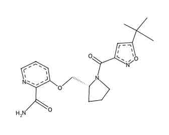 CC(C)(C)c1cc(C(=O)N2CCC[C@@H]2COc2cccnc2C(N)=O)no1